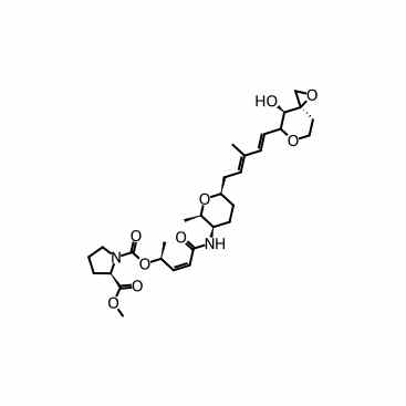 COC(=O)[C@H]1CCCN1C(=O)O[C@@H](C)/C=C\C(=O)N[C@@H]1CC[C@H](C/C=C(C)/C=C/C2OCC[C@@]3(CO3)[C@@H]2O)O[C@@H]1C